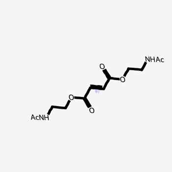 CC(=O)NCCOC(=O)/C=C/C(=O)OCCNC(C)=O